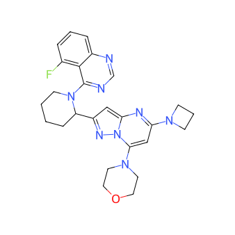 Fc1cccc2ncnc(N3CCCCC3c3cc4nc(N5CCC5)cc(N5CCOCC5)n4n3)c12